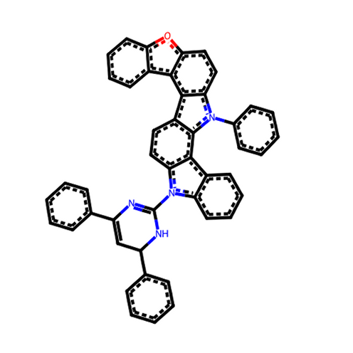 C1=C(c2ccccc2)N=C(n2c3ccccc3c3c2ccc2c4c5c(ccc4n(-c4ccccc4)c23)oc2ccccc25)NC1c1ccccc1